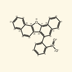 O=[N+]([O-])c1ccccc1-c1cc2ccccc2c2oc3c4ccccc4ccc3c12